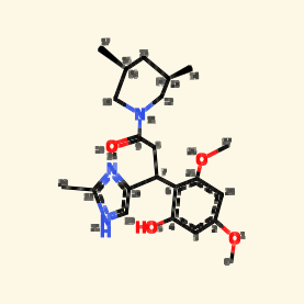 COc1cc(O)c(C(CC(=O)N2C[C@H](C)C[C@H](C)C2)c2c[nH]c(C)n2)c(OC)c1